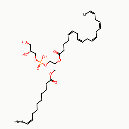 CC/C=C\C/C=C\C/C=C\C/C=C\C/C=C\CCCC(=O)O[C@H](COC(=O)CCCCCCC/C=C\CCCCCCC)COP(=O)(O)OC[C@@H](O)CO